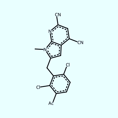 CC(=O)c1ccc(Cl)c(Cc2cc3c(C#N)cc(C#N)nc3n2C)c1Cl